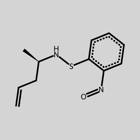 C=CC[C@@H](C)NSc1ccccc1N=O